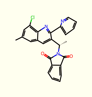 Cc1cc(Cl)c2nc(-c3ccccn3)c([C@H](C)N3C(=O)c4ccccc4C3=O)cc2c1